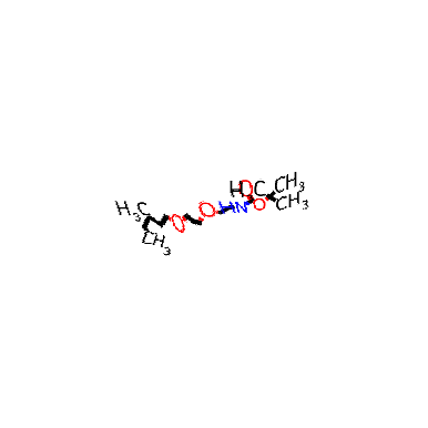 CCC(C)CCOCCOCCNC(=O)OC(C)(C)C